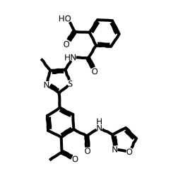 CC(=O)c1ccc(-c2nc(C)c(NC(=O)c3ccccc3C(=O)O)s2)cc1C(=O)Nc1ccon1